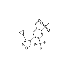 CS(=O)(=O)c1cc(C(F)(F)F)c(-c2conc2C2CC2)cc1C=O